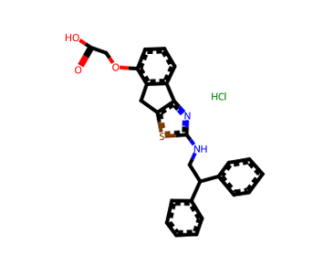 Cl.O=C(O)COc1cccc2c1Cc1sc(NCC(c3ccccc3)c3ccccc3)nc1-2